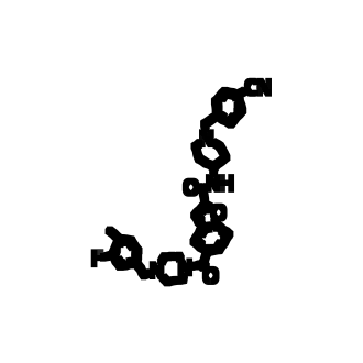 Cc1ccc(CN2CCN(C(=O)c3ccc4oc(C(=O)NC5CCN(Cc6ccc(C#N)cc6)CC5)cc4c3)CC2)cc1F